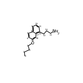 CCCCOc1ccc2cccc(CCCN)c2c1